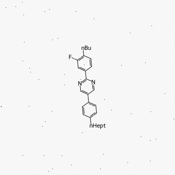 CCCCCCCc1ccc(-c2cnc(-c3ccc(CCCC)c(F)c3)nc2)cc1